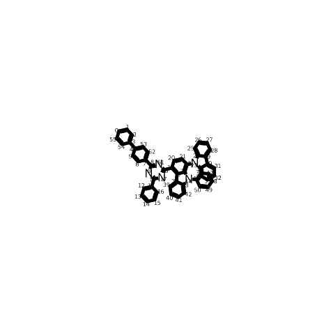 c1ccc(-c2ccc(-c3nc(-c4ccccc4)nc(-c4ccc(-n5c6ccccc6c6ccccc65)c5c4c4ccccc4n5-c4ccccc4)n3)cc2)cc1